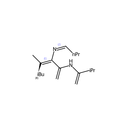 C=C(NC(=C)C(C)C)C(/N=C\CCC)=C(/C)[C@H](C)CC